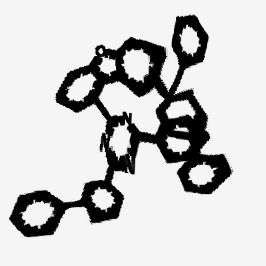 C1=CC(c2ccccc2)(c2ccc3oc4cccc(-c5nc(-c6ccccc6)nc(-c6cccc(-c7ccccc7)c6)n5)c4c3c2)CC=C1c1ccccc1